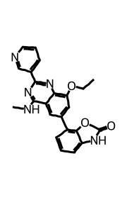 CCOc1cc(-c2cccc3[nH]c(=O)oc23)cc2c(NC)nc(-c3cccnc3)nc12